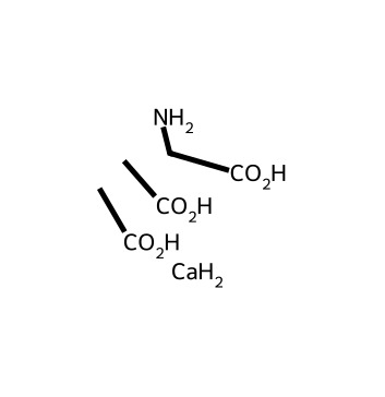 CC(=O)O.CC(=O)O.NCC(=O)O.[CaH2]